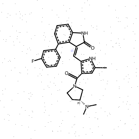 Cc1cc(C(=O)N2CC[C@@H](N(C)C)C2)c(/C=C2\C(=O)Nc3cccc(-c4cccc(F)c4)c32)[nH]1